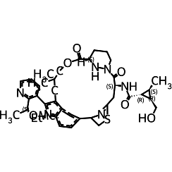 CCn1c(-c2cccnc2[C@H](C)OC)c2c3cc(ccc31)C1CSC(=N1)C[C@H](NC(=O)[C@@H]1[C@@H](C)[C@H]1CO)C(=O)N1CCC[C@H](N1)C(=O)OCC(C)(C)C2